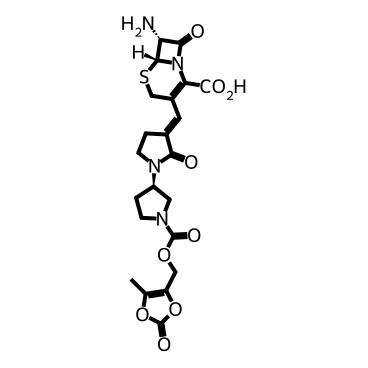 Cc1oc(=O)oc1COC(=O)N1CC[C@@H](N2CCC(=CC3=C(C(=O)O)N4C(=O)[C@@H](N)[C@H]4SC3)C2=O)C1